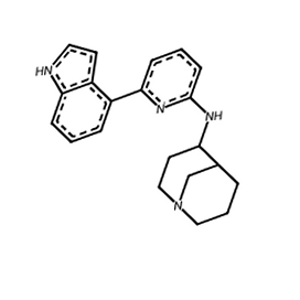 c1cc(NC2CCN3CCCC2C3)nc(-c2cccc3[nH]ccc23)c1